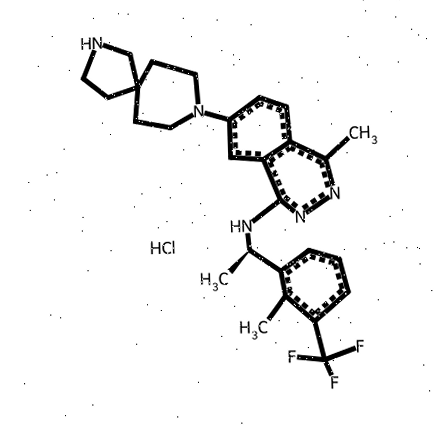 Cc1c([C@@H](C)Nc2nnc(C)c3ccc(N4CCC5(CCNC5)CC4)cc23)cccc1C(F)(F)F.Cl